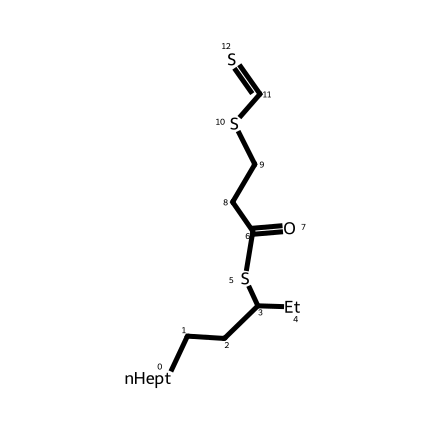 CCCCCCCCCC(CC)SC(=O)CCSC=S